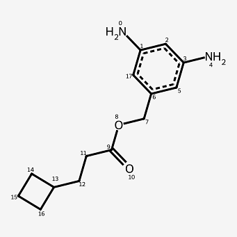 Nc1cc(N)cc(COC(=O)CCC2CCC2)c1